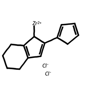 [Cl-].[Cl-].[Zr+2][CH]1C(C2=CC=CC2)=CC2=C1CCCC2